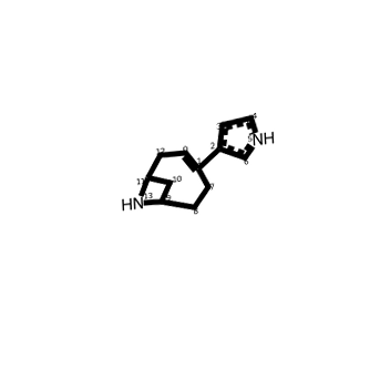 C1=C(c2cc[nH]c2)CCC2CC(C1)N2